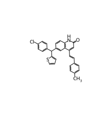 Cc1ccc(/C=C/c2cc(=O)[nH]c3ccc(C(c4ccc(Cl)cc4)c4cccs4)cc23)cc1